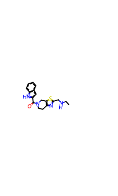 CCNCc1nc2c(s1)CN(C(=O)c1cc3ccccc3[nH]1)CC2